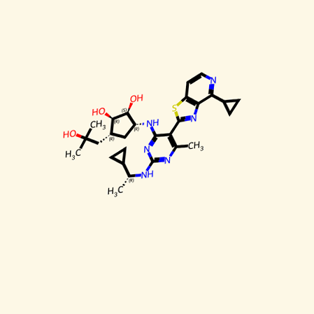 Cc1nc(N[C@H](C)C2CC2)nc(N[C@@H]2C[C@H](CC(C)(C)O)[C@@H](O)[C@H]2O)c1-c1nc2c(C3CC3)nccc2s1